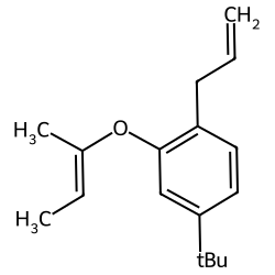 C=CCc1ccc(C(C)(C)C)cc1OC(C)=CC